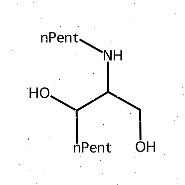 CCCCCNC(CO)C(O)CCCCC